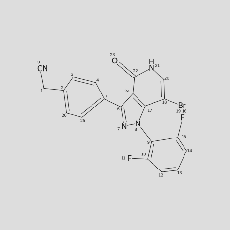 N#CCc1ccc(-c2nn(-c3c(F)cccc3F)c3c(Br)c[nH]c(=O)c23)cc1